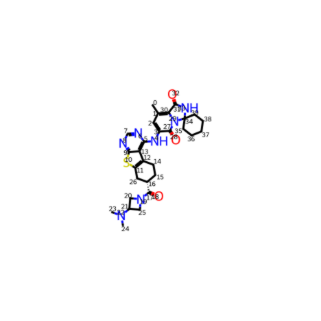 Cc1cc(Nc2ncnc3sc4c(c23)CC[C@H](C(=O)N2CC(N(C)C)C2)C4)c(=O)n2c1C(=O)NC21CCCCC1